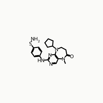 CN1C(=O)CCN(C2CCCC2)c2nc(Nc3ccc(SN)cc3)ncc21